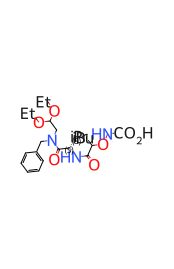 CCOC(CN(Cc1ccccc1)C(=O)[C@@H](NC(=O)C(ONC(=O)O)C(C)C)[C@@H](C)CC)OCC